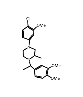 COc1cc(N2CCN(C(C)c3ccc(OC)c(OC)c3)C(C)C2)ccc1Cl